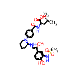 CC(C)C[C@@H](NC(=O)c1ccc(N2CCCCC2NCC(O)c2ccc(O)c(NS(C)(=O)=O)c2)cc1)C(=O)O